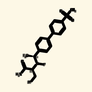 CC(C)C[C@@H](C(N)=O)N(F)[C@@H](c1ccc(-c2ccc(S(C)(=O)=O)cc2)cc1)C(F)(F)F